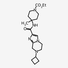 CCOC(=O)N1CCC(C)(NC(=O)c2cn3c(n2)CN(C2CCC2)CC3)CC1